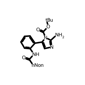 CCCCCCCCCC(=O)Nc1ccccc1-c1cnc(N)n1C(=O)OC(C)(C)C